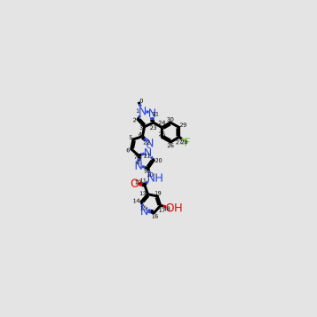 Cn1cc(-c2ccc3nc(NC(=O)c4cncc(O)c4)cn3n2)c(-c2ccc(F)cc2)n1